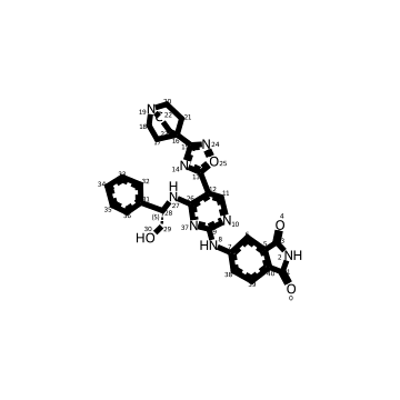 O=C1NC(=O)c2cc(Nc3ncc(-c4nc(C56CCN(CC5)CC6)no4)c(N[C@H](CO)c4ccccc4)n3)ccc21